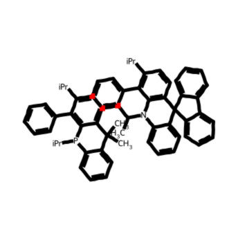 CC(C)c1ccc2c(c1-c1ccccc1)N(C(C)Cc1cc(C(C)C)c(-c3ccccc3)c3c1C(C)(C)c1ccccc1P3C(C)C)c1ccccc1C21c2ccccc2-c2ccccc21